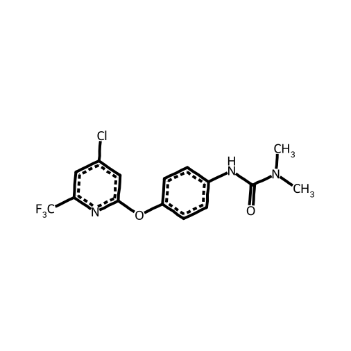 CN(C)C(=O)Nc1ccc(Oc2cc(Cl)cc(C(F)(F)F)n2)cc1